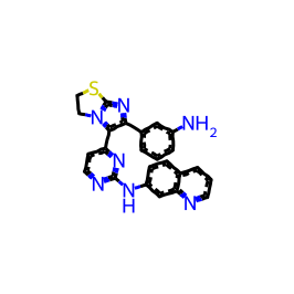 Nc1cccc(-c2nc3n(c2-c2ccnc(Nc4ccc5cccnc5c4)n2)CCS3)c1